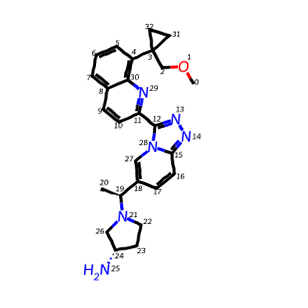 COCC1(c2cccc3ccc(-c4nnc5ccc([C@H](C)N6CC[C@H](N)C6)cn45)nc23)CC1